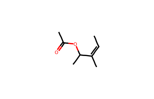 CC=C(C)C(C)OC(C)=O